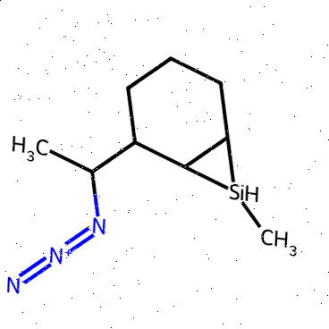 CC(N=[N+]=[N-])C1CCCC2C1[SiH]2C